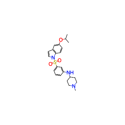 CC(C)Oc1ccc2c(ccn2S(=O)(=O)c2cccc(NC3CCN(C)CC3)c2)c1